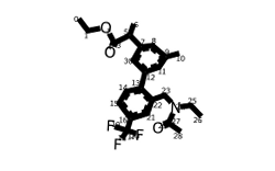 CCOC(=O)C(C)c1cc(C)cc(-c2ccc(C(F)(F)F)cc2CN(CC)C(C)=O)c1